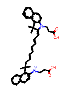 CC(C)(C/C=C/C=C/C=C/C=C1/N(CCC(=O)O)c2ccc3ccccc3c2C1(C)C)c1c(NCCC(=O)O)ccc2ccccc12